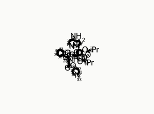 CC(C)C(=O)O[C@H]1[C@H](c2ccc3c(N)ccnn23)O[C@](C#N)(COP(=O)(N[C@@H](C)C(=O)OC2CCN(C)CC2)Oc2ccccc2)[C@H]1OC(=O)C(C)C